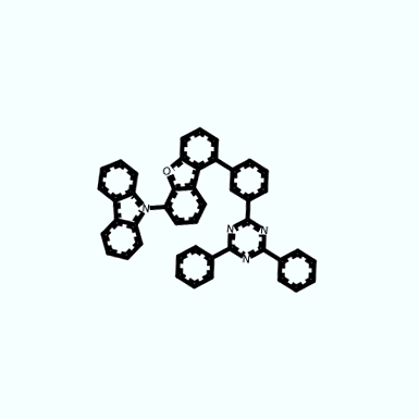 c1ccc(-c2nc(-c3ccccc3)nc(-c3cccc(-c4cccc5oc6c(-n7c8ccccc8c8ccccc87)cccc6c45)c3)n2)cc1